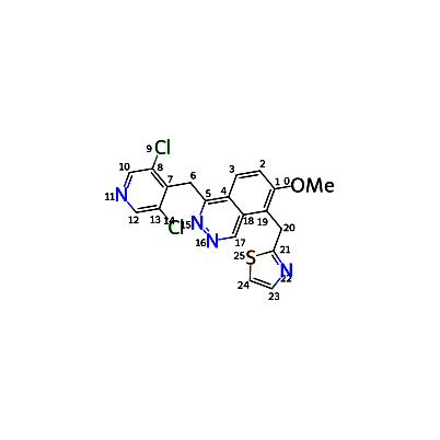 COc1ccc2c(Cc3c(Cl)cncc3Cl)nncc2c1Cc1nccs1